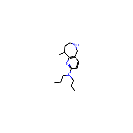 CCCN(CCC)c1ccc2c(n1)C(C)CCNC2